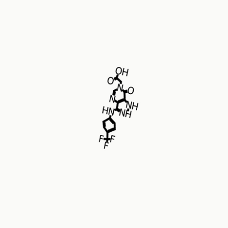 CNc1c(C(=N)Nc2ccc(C(F)(F)F)cc2)ncn(CC(=O)O)c1=O